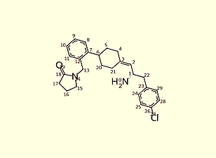 N[C@H](C=C1CCC(c2ccccc2CN2CCCC2=O)CC1)Cc1ccc(Cl)cc1